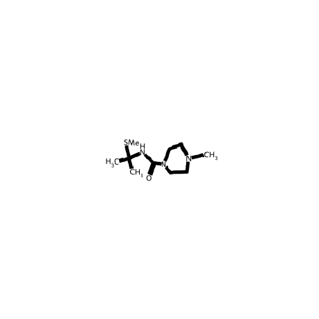 CSC(C)(C)NC(=O)N1CCN(C)CC1